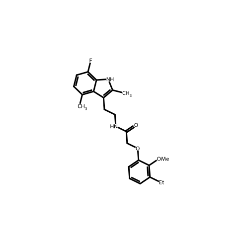 CCc1cccc(OCC(=O)NCCc2c(C)[nH]c3c(F)ccc(C)c23)c1OC